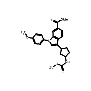 COC(=O)c1ccc2c(C3CCC(NC(=O)OC(C)(C)C)C3)cn(-c3ccc(OC(F)(F)F)cc3)c2c1